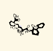 C=C(/C=C(/CN1CCCCC1C(=O)O)N(C)C)C(=O)Nc1cccc(-c2ccccc2)c1C